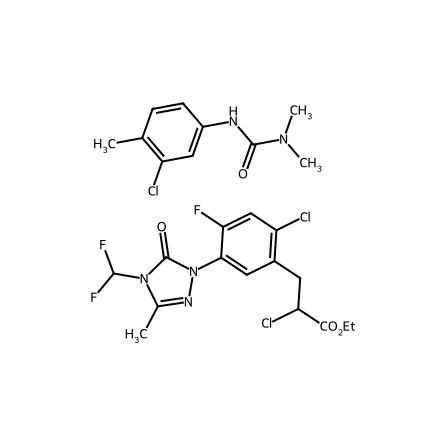 CCOC(=O)C(Cl)Cc1cc(-n2nc(C)n(C(F)F)c2=O)c(F)cc1Cl.Cc1ccc(NC(=O)N(C)C)cc1Cl